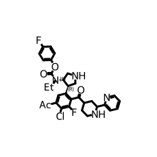 CCN(C(=O)Oc1ccc(F)cc1)[C@@H]1CNC[C@H]1c1cc(C(C)=O)c(Cl)c(F)c1C(=O)C1CCNC(c2ccccn2)C1